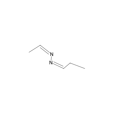 C/C=N\N=C/CC